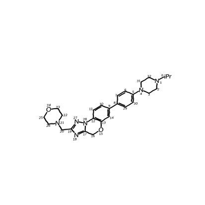 CC(C)N1CCN(c2ccc(-c3ccc4c(c3)OCc3nc(CN5CCOCC5)nn3-4)cc2)CC1